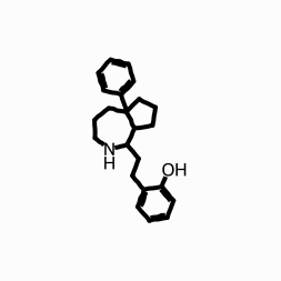 Oc1ccccc1CCC1NCCCC2(c3ccccc3)CCCC12